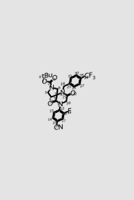 CC(C)(C)OC(=O)N1CCC2(C1)C(=O)N(c1ccc(C#N)cc1F)CC(=O)N2Cc1ccc(C(F)(F)F)cc1